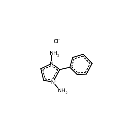 Nn1cc[n+](N)c1-c1ccccc1.[Cl-]